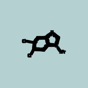 CCCn1cnc2cc(Cl)c(Cl)cc21